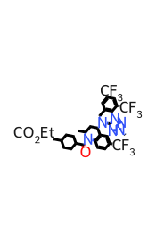 CCOC(=O)CC1CCC(C(=O)N2c3ccc(C(F)(F)F)cc3C(N(Cc3cc(C(F)(F)F)cc(C(F)(F)F)c3)c3nnn(C)n3)CC2C)CC1